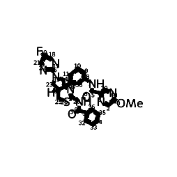 COc1cnc(C(=O)Nc2cccc(C34CN(c5ncc(F)cn5)C[C@H]3CSC(NC(=O)c3ccccc3)=N4)c2)cn1